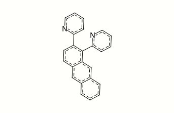 c1ccc(-c2ccc3cc4ccccc4cc3c2-c2ccccn2)nc1